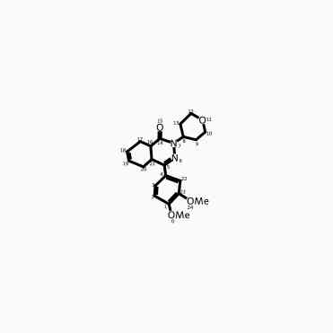 COc1ccc(C2=NN(C3CCOCC3)C(=O)C3CC=CCC23)cc1OC